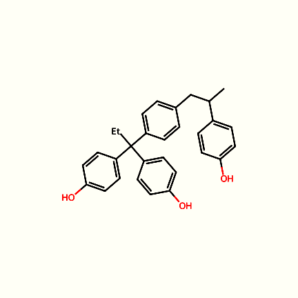 CCC(c1ccc(O)cc1)(c1ccc(O)cc1)c1ccc(CC(C)c2ccc(O)cc2)cc1